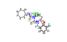 CN1C(=NC2CCCCCC2)SCC1N(C=O)Cc1cccc(F)c1.Cl